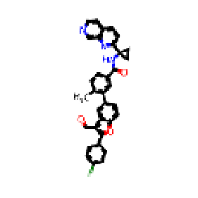 Cc1ccc(C(=O)NC2(c3ccc4ccncc4n3)CC2)cc1-c1ccc2oc(-c3ccc(F)cc3)c(C=O)c2c1